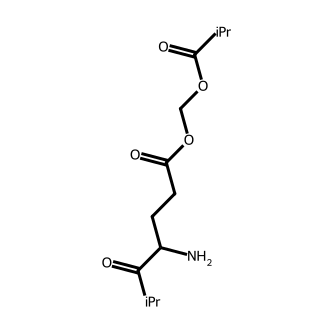 CC(C)C(=O)OCOC(=O)CCC(N)C(=O)C(C)C